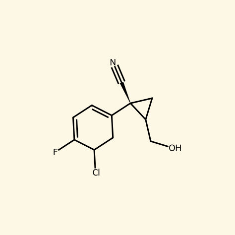 N#C[C@@]1(C2=CC=C(F)C(Cl)C2)CC1CO